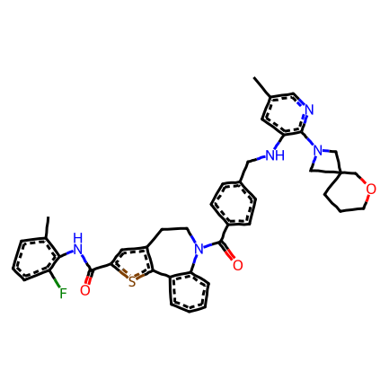 Cc1cnc(N2CC3(CCCOC3)C2)c(NCc2ccc(C(=O)N3CCc4cc(C(=O)Nc5c(C)cccc5F)sc4-c4ccccc43)cc2)c1